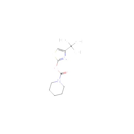 CC(C)(C)c1csc(OC(=O)N2CCCCC2)n1